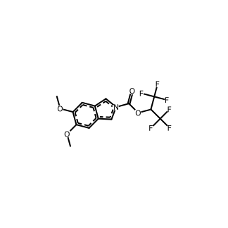 COc1cc2cn(C(=O)OC(C(F)(F)F)C(F)(F)F)cc2cc1OC